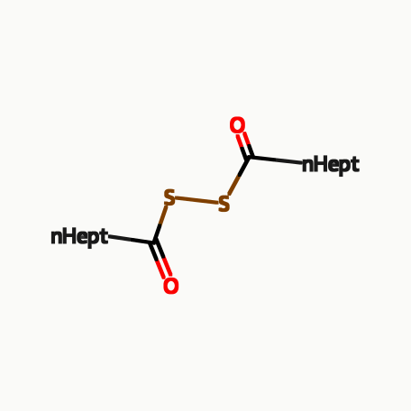 CCCCCCCC(=O)SSC(=O)CCCCCCC